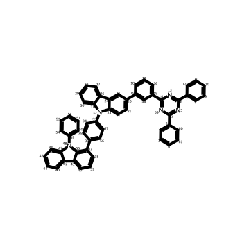 c1ccc(-c2nc(-c3ccccc3)nc(-c3cccc(-c4ccc5c(c4)c4ccccc4n5-c4ccc(-c5cccc6c7ccccc7n(-c7ccccc7)c56)cc4)c3)n2)cc1